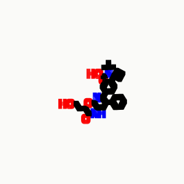 CC(C)(C)N(C(=O)O)C1(c2ccc(-c3nc4c(cc3-c3ccccc3)NC(=O)C(CCO)O4)cc2)CCC1